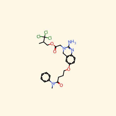 CC(COC(=O)CN1Cc2cc(OCCCC(=O)N(C)c3ccccc3)ccc2N=C1N)C(Cl)(Cl)Cl